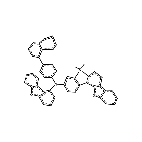 C[Si]1(C)c2cc(N(c3ccc(-c4cccc5ccccc45)cc3)c3cccc4oc5ccccc5c34)ccc2-c2c1ccc1c2sc2ccccc21